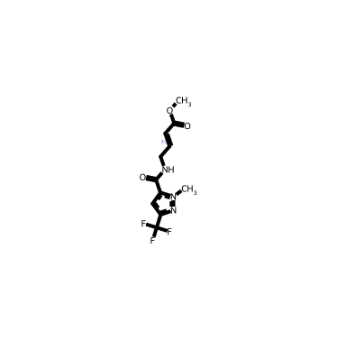 COC(=O)/C=C/CNC(=O)c1cc(C(F)(F)F)nn1C